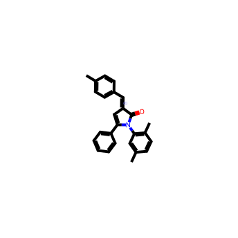 Cc1ccc(/C=C2\C=C(c3ccccc3)N(c3cc(C)ccc3C)C2=O)cc1